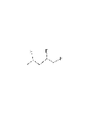 CC(F)CC(F)[CH]F